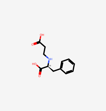 O=C(O)CCN[C@@H](Cc1ccccc1)C(=O)O